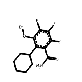 CCOc1c(F)c(F)c(F)c(C(N)=O)c1C1CCCCC1